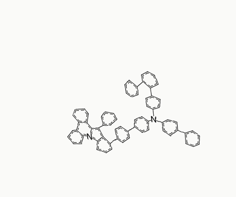 c1ccc(-c2ccc(N(c3ccc(-c4ccc(-c5cccc6c5c(-c5ccccc5)c5c7ccccc7c7ccccc7n65)cc4)cc3)c3ccc(-c4ccccc4-c4ccccc4)cc3)cc2)cc1